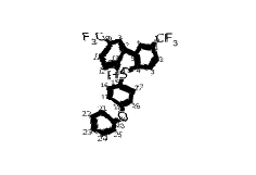 FC(F)(F)c1ccc2c(c1)-c1cc(C(F)(F)F)ccc1[SH]2c1ccc(Oc2ccccc2)cc1